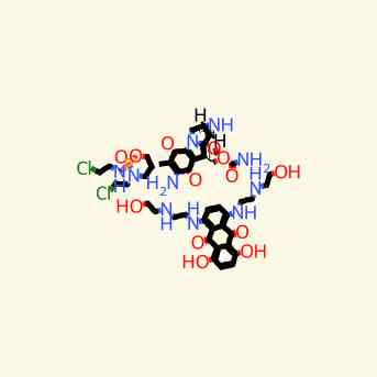 CO[C@@]12[C@H](COC(N)=O)C3=C(C(=O)C(C)=C(N)C3=O)N1C[C@@H]1N[C@@H]12.O=C1c2c(O)ccc(O)c2C(=O)c2c(NCCNCCO)ccc(NCCNCCO)c21.O=P1(NCCCl)OCCCN1CCCl